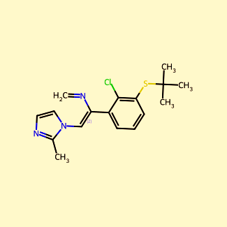 C=N/C(=C\n1ccnc1C)c1cccc(SC(C)(C)C)c1Cl